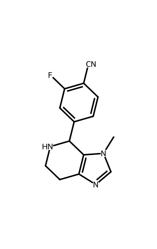 Cn1cnc2c1C(c1ccc(C#N)c(F)c1)NCC2